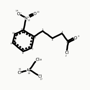 O=C(Cl)CCCc1ccccc1[N+](=O)[O-].[Cl][Al]([Cl])[Cl]